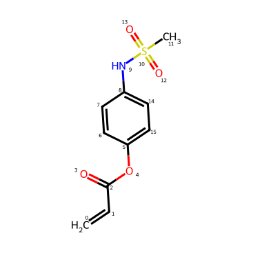 C=CC(=O)Oc1ccc(NS(C)(=O)=O)cc1